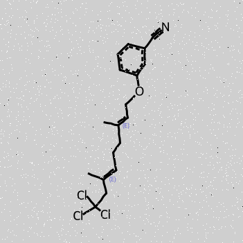 C/C(=C\COc1cccc(C#N)c1)CC/C=C(\C)CC(Cl)(Cl)Cl